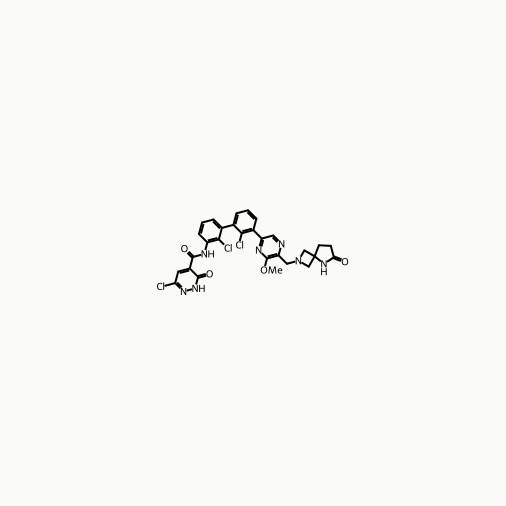 COc1nc(-c2cccc(-c3cccc(NC(=O)c4cc(Cl)n[nH]c4=O)c3Cl)c2Cl)cnc1CN1CC2(CCC(=O)N2)C1